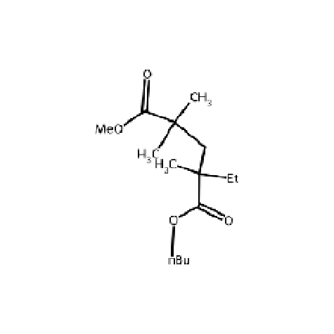 CCCCOC(=O)C(C)(CC)CC(C)(C)C(=O)OC